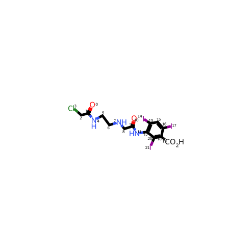 O=C(CCl)NCCNCC(=O)Nc1c(I)cc(I)c(C(=O)O)c1I